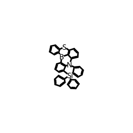 c1ccc([Si]2(c3ccccc3)c3ccccc3N3c4cccc5c4B(c4ccccc4S5)c4cccc2c43)cc1